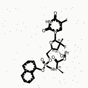 CC(C)OC(=O)[C@@H](C)NP(=O)(OC[C@H]1OC(n2cc(I)c(=O)[nH]c2=O)[C@](C)(F)[C@@H]1O)Oc1cccc2ccccc12